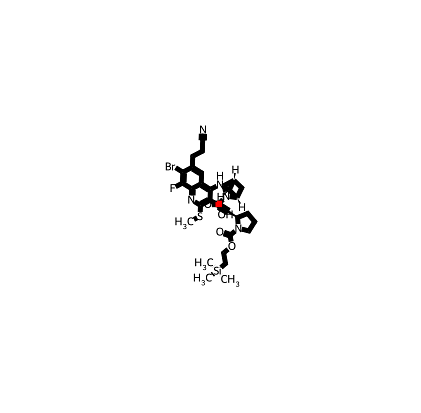 CSc1nc2c(F)c(Br)c(CCC#N)cc2c(N[C@H]2[C@@H]3C[C@H]2N(C(=O)O)C3)c1C#C[C@H]1CCCN1C(=O)OCC[Si](C)(C)C